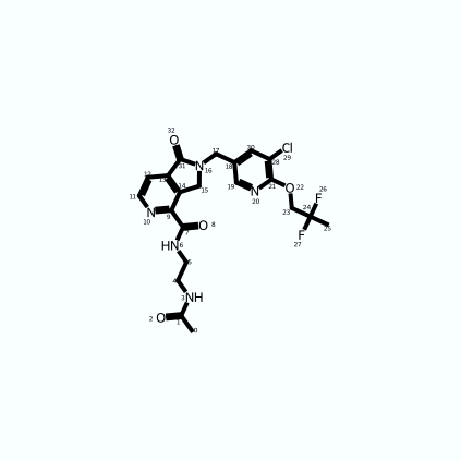 CC(=O)NCCNC(=O)c1nccc2c1CN(Cc1cnc(OCC(C)(F)F)c(Cl)c1)C2=O